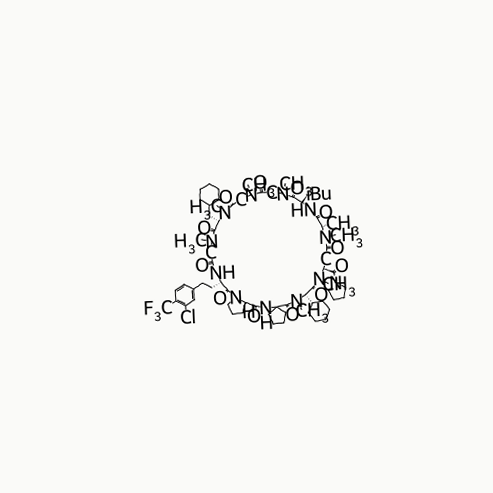 CC[C@H](C)[C@@H]1NC(=O)[C@H](C)N(C)C(=O)C[C@@H](C(=O)N2CCCC2)N(C)C(=O)[C@H](C2CCCCC2)N(C)C(=O)C2(CCCC2)NC(=O)[C@@H]2CCCN2C(=O)[C@H](CCc2ccc(C(F)(F)F)c(Cl)c2)NC(=O)CN(C)C(=O)[C@H](CC2CCCCC2)N(C)C(=O)CN(C)C(=O)CN(C)C1=O